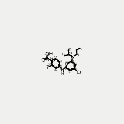 CCCN(c1cc(Cl)cc(Nc2ccc(C(=O)O)c(F)c2)n1)C(C)C